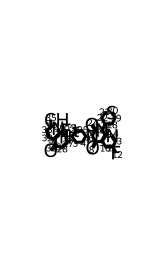 CC[N+]1(C2CCC(n3c(=O)c4cc(F)cnc4n(C4CCSCC4)c3=O)CC2)C=CC(=O)c2ccc(C)nc21